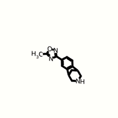 Cc1nc(-c2ccc3c(c2)C2CNCC3C2)no1